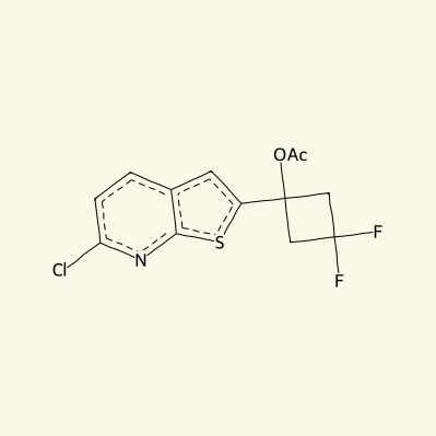 CC(=O)OC1(c2cc3ccc(Cl)nc3s2)CC(F)(F)C1